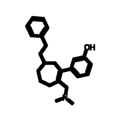 CN(C)CC1=C(c2cccc(O)c2)CC(CCc2ccccc2)CCC1